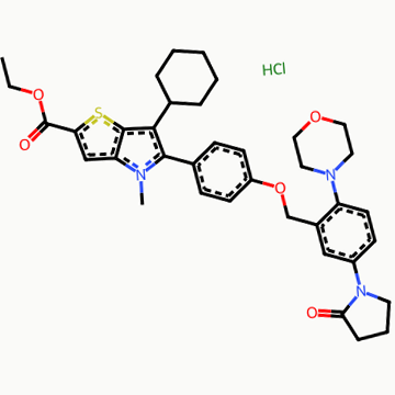 CCOC(=O)c1cc2c(s1)c(C1CCCCC1)c(-c1ccc(OCc3cc(N4CCCC4=O)ccc3N3CCOCC3)cc1)n2C.Cl